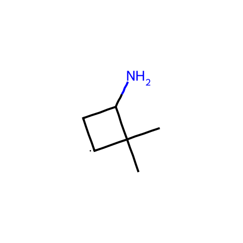 CC1(C)[CH]CC1N